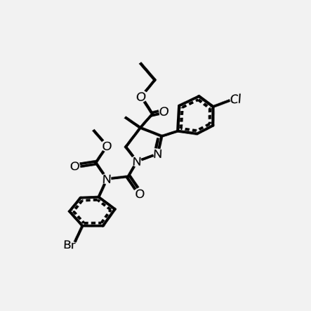 CCOC(=O)C1(C)CN(C(=O)N(C(=O)OC)c2ccc(Br)cc2)N=C1c1ccc(Cl)cc1